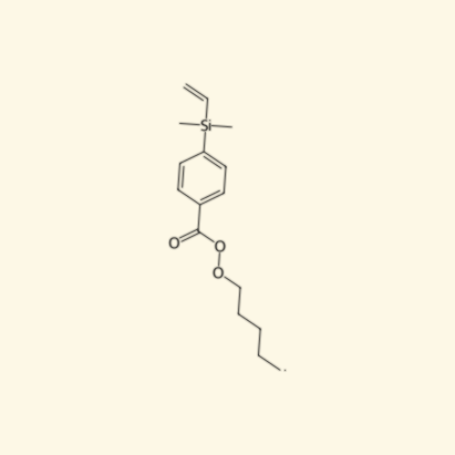 [CH2]CCCCOOC(=O)c1ccc([Si](C)(C)C=C)cc1